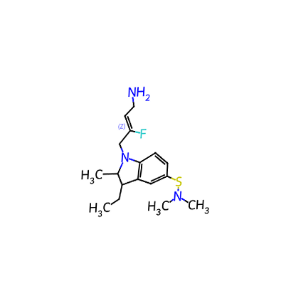 CCC1c2cc(SN(C)C)ccc2N(C/C(F)=C/CN)C1C